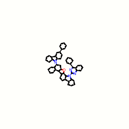 c1ccc(-c2ccc3c(c2)c2ccccc2n3-c2cc3oc4c(ccc5c6ccccc6n(-c6nc(-c7ccccc7)c7ccccc7n6)c54)c3c3ccccc23)cc1